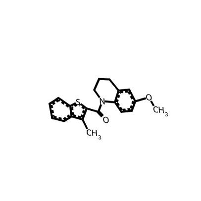 COc1ccc2c(c1)CCCN2C(=O)c1sc2ccccc2c1C